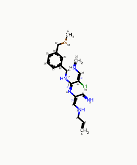 C=CCN/C=C(C=N)/N=C(NCc1cccc(CSC)c1)\C(Cl)=C/N=C